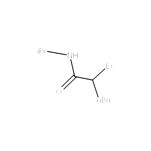 CCCC[C](CC)C(=O)NC(C)C